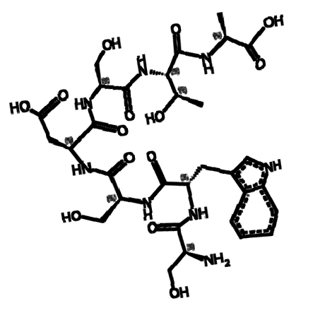 C[C@H](NC(=O)[C@@H](NC(=O)[C@H](CO)NC(=O)[C@H](CC(=O)O)NC(=O)[C@H](CO)NC(=O)[C@H](Cc1c[nH]c2ccccc12)NC(=O)[C@@H](N)CO)[C@@H](C)O)C(=O)O